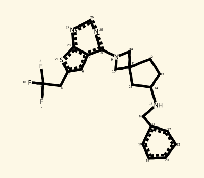 FC(F)(F)Cc1cc2c(N3CC4(CCC(NCc5ccccc5)C4)C3)ncnc2s1